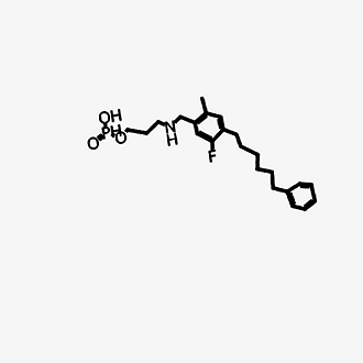 Cc1cc(CCCCCCc2ccccc2)c(F)cc1CNCCCO[PH](=O)O